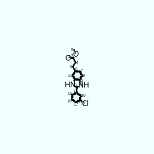 COC(=O)CCc1ccc2c(c1)NC(c1cccc(Cl)c1)N2